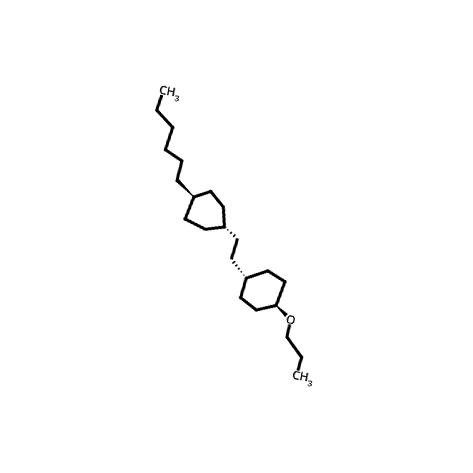 CCCCCC[C@H]1CC[C@H](CC[C@H]2CC[C@H](OCCC)CC2)CC1